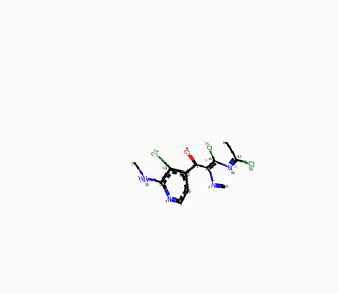 C=N/C(C(=O)c1ccnc(NC)c1Cl)=C(Cl)\N=C(/C)Cl